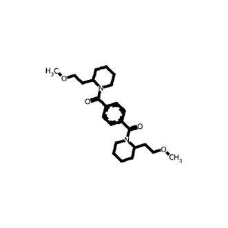 COCCC1CCCCN1C(=O)c1ccc(C(=O)N2CCCCC2CCOC)cc1